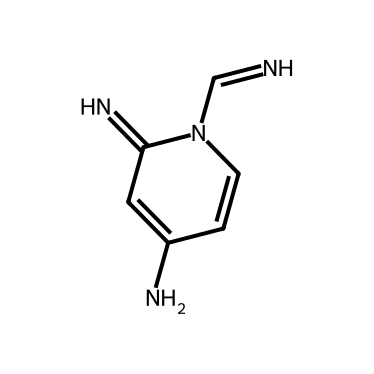 N=Cn1ccc(N)cc1=N